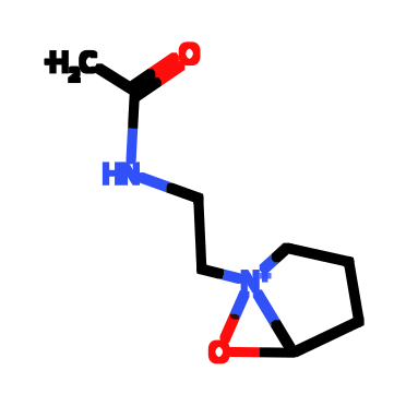 [CH2]C(=O)NCC[N+]12CCCC1O2